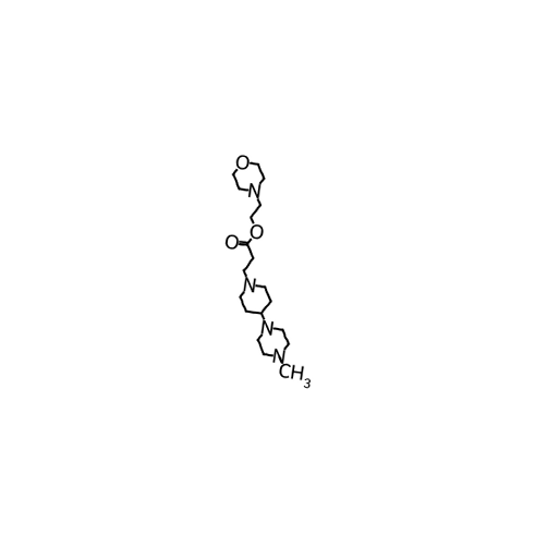 CN1CCN(C2CCN(CCC(=O)OCCN3CCOCC3)CC2)CC1